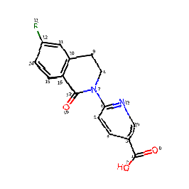 O=C(O)c1ccc(N2CCc3cc(F)ccc3C2=O)nc1